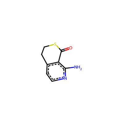 Nc1nccc2c1C(=O)SCC2